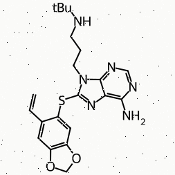 C=Cc1cc2c(cc1Sc1nc3c(N)ncnc3n1CCCNC(C)(C)C)OCO2